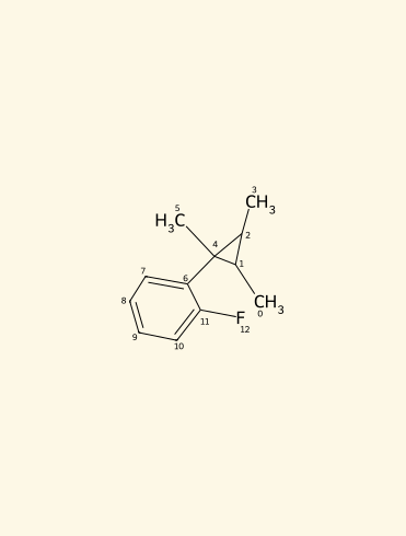 CC1C(C)C1(C)c1ccccc1F